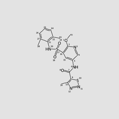 COc1ncc(NC(=O)c2snnc2C)cc1S(=O)(=O)Nc1c(C)cccc1C